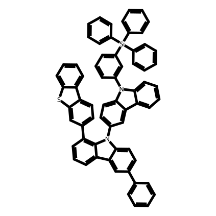 c1ccc(-c2ccc3c(c2)c2cccc(-c4ccc5c(c4)sc4ccccc45)c2n3-c2ccc3c(c2)c2ccccc2n3-c2cccc([Si](c3ccccc3)(c3ccccc3)c3ccccc3)c2)cc1